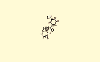 CN1CCC[C@@H](NC(=O)c2cccc(Cl)c2)C1